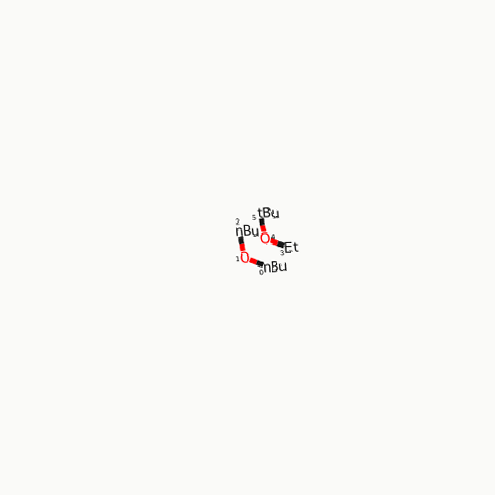 CCCCOCCCC.CCOC(C)(C)C